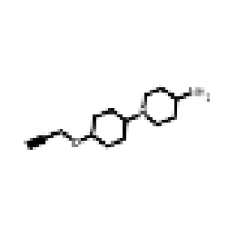 C#CCOC1CCC(N2CCC(N)CC2)CC1